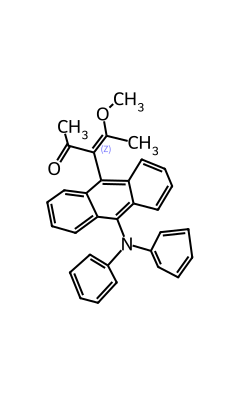 CO/C(C)=C(\C(C)=O)c1c2ccccc2c(N(c2ccccc2)c2ccccc2)c2ccccc12